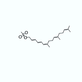 CC(C)=CCC/C(C)=C/CC\C(C)=C/C=C/C=C/COS(C)(=O)=O